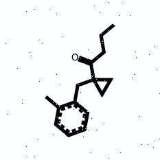 CCCC(=O)C1(Cc2ccccc2C)CC1